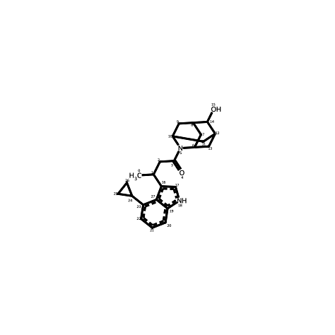 CC(CC(=O)N1C2CC3CC1CC(C2)C3O)c1c[nH]c2cccc(C3CC3)c12